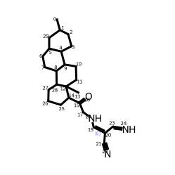 CC1CCC2C(CCC3C2CCC2(C)C(C(=O)CN/C=C(/C#N)C=N)CCCC32)C1